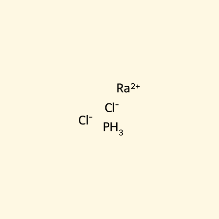 P.[Cl-].[Cl-].[Ra+2]